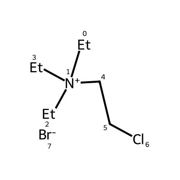 CC[N+](CC)(CC)CCCl.[Br-]